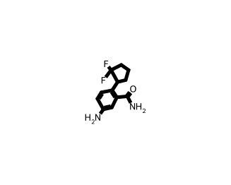 NC(=O)c1cc(N)ccc1C1CCCC1(F)F